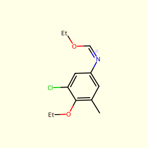 CCO/C=N\c1cc(C)c(OCC)c(Cl)c1